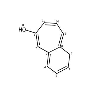 OC1=CC2=CC=CCC2=CC=C1